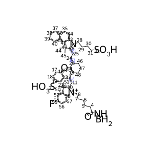 BNC(=O)CCCCC[N+]1=C(/C=C/C2=C(Oc3ccc(S(=O)(=O)O)cc3)C(=C/C=C3/N(CCCCS(=O)(=O)O)c4ccc5ccccc5c4C3(C)C)/CCC2)C(C)(C)c2cc(F)ccc21